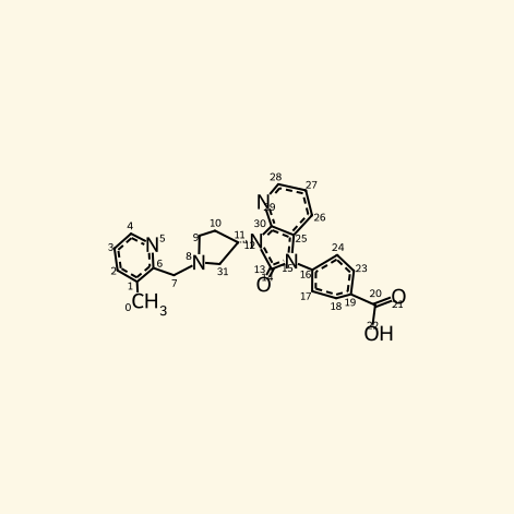 Cc1cccnc1CN1CC[C@H](n2c(=O)n(-c3ccc(C(=O)O)cc3)c3cccnc32)C1